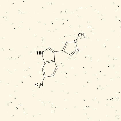 Cn1cc(-c2c[nH]c3cc([N+](=O)[O-])ccc23)cn1